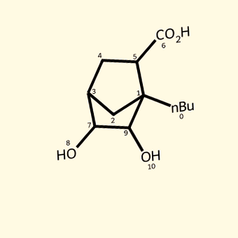 CCCCC12CC(CC1C(=O)O)C(O)C2O